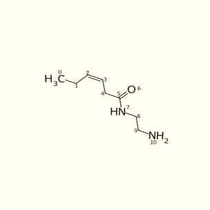 CC/C=C\CC(=O)NCCN